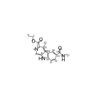 CCOC(=O)c1ncc2[nH]c3ccc(C(=O)NC)cc3c2c1C